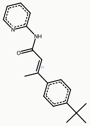 C/C(=C\C(=O)Nc1ccccn1)c1ccc(C(C)(C)C)cc1